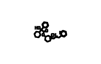 C[N+]1(CCCc2ccccn2)CCCC(OC(=O)C(O)(c2ccccc2)C2CCCCC2)C1